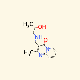 Cc1nc2ccccn2c(=O)c1CNC[C@H](C)O